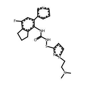 CN(C)CCn1ccc(SNC(=O)Nc2c(-c3cccnc3)cc(F)c3c2CCC3)n1